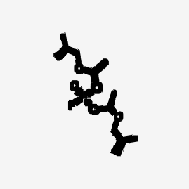 C=C(C)COC(C)OP(=O)(F)OC(C)OCC(=C)C